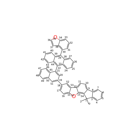 CC1(C)c2ccccc2-c2ccc3c(oc4ccc(-c5cc(-c6c7ccccc7c(-c7cccc8occc78)c7ccccc67)c6ccccc6c5)cc43)c21